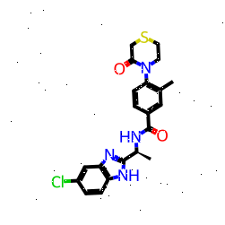 Cc1cc(C(=O)N[C@@H](C)c2nc3cc(Cl)ccc3[nH]2)ccc1N1CCSCC1=O